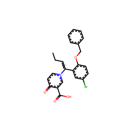 CC/C=C(/c1cc(Br)ccc1OCc1ccccc1)n1ccc(=O)c(C(=O)O)c1